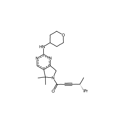 CC(C)[C@@H](C)C#CC(=O)N1Cc2nc(NC3CCOCC3)ncc2C1(C)C